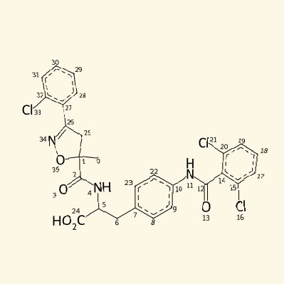 CC1(C(=O)NC(Cc2ccc(NC(=O)c3c(Cl)cccc3Cl)cc2)C(=O)O)CC(c2ccccc2Cl)=NO1